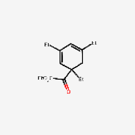 CCOC(=O)C(=O)C1(CC)C=C(CC)C=C(CC)C1